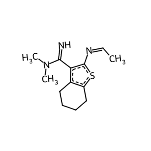 C/C=N\c1sc2c(c1C(=N)N(C)C)CCCC2